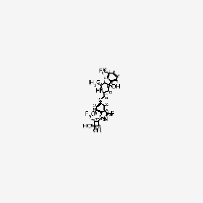 CC1CC(O)(c2cccc(C(F)(F)F)c2)CC(COc2cc(C(F)(F)F)c3c(c2)c(F)nn3C2CC(C)(O)C2)N1